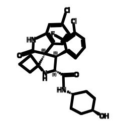 O=C(N[C@H]1CC[C@H](O)CC1)[C@@H]1NC2(CCC2)[C@@]2(C(=O)Nc3cc(Cl)ccc32)[C@H]1c1cccc(Cl)c1F